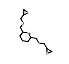 C1CC(CSCC2CS2)[Se]C(CSCC2CS2)C1